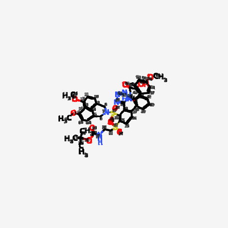 COc1ccc(CN(Cc2ccc(OC)cc2)S(=O)(=O)c2c(S(=O)(=O)CCNC(=O)OC(C)(C)C)ccc(-c3cccc4c3NC(=O)C4O)c2-c2nnnn2Cc2ccc(OC)cc2)cc1